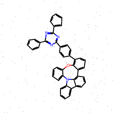 c1ccc(-c2nc(-c3ccccc3)nc(-c3ccc(-c4cccc5c4oc4ccccc4n4c6ccccc6c6cccc5c64)cc3)n2)cc1